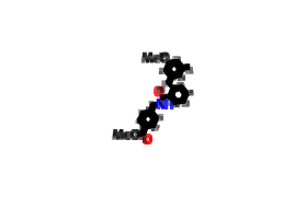 COC(=O)c1ccc(CNC(=O)[C@@H]2CCCC[C@@H]2Cc2cc(C)cc(OC)c2)cc1